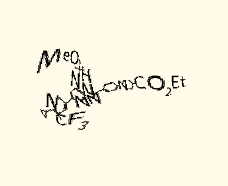 CCOC(=O)C1CCN(c2ccc(-c3nc4nc(-c5cnc(C6CC6)c(C(F)(F)F)c5)cc(N(C)CC(C)(C)COC)c4[nH]3)cc2)CC1